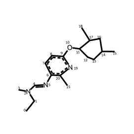 CCN(C)/C=N/c1ccc(OC2CCC(C)CC2C)nc1C